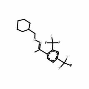 C/C(=N\OCC1CCCCC1)c1ccc(C(F)(F)F)cc1C(F)(F)F